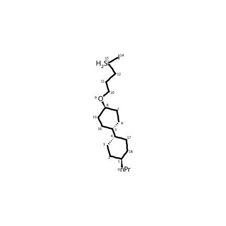 CCC[C@H]1CC[C@H]([C@H]2CC[C@H](OCCC[SiH2]I)CC2)CC1